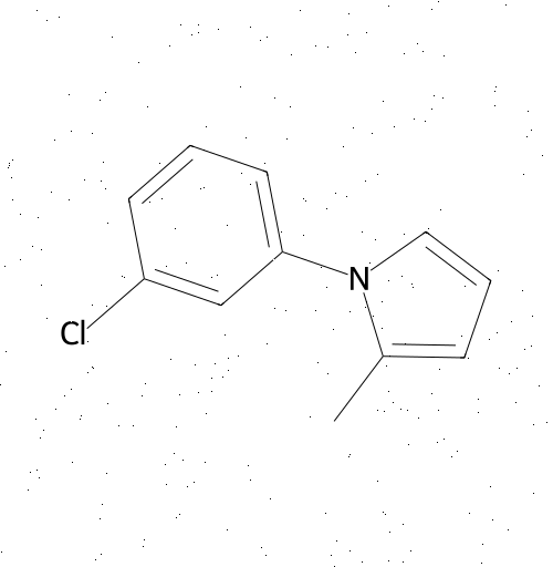 Cc1cccn1-c1cccc(Cl)c1